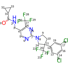 O=C(NCc1cnc(N2CCC(c3cc(Cl)cc(Cl)c3)(C(F)(F)F)C2)nc1C(F)(F)F)C1CC1